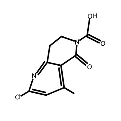 Cc1cc(Cl)nc2c1C(=O)N(C(=O)O)CC2